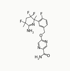 CC1(F)CC(F)(F)C(C)(c2cc(COc3cnc(C(N)=O)cn3)ccc2F)N=C1N